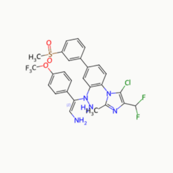 Cc1nc(C(F)F)c(Cl)n1-c1ccc(-c2cccc(S(C)(=O)=O)c2)cc1N(N)/C(=C\N)c1ccc(OC(F)(F)F)cc1